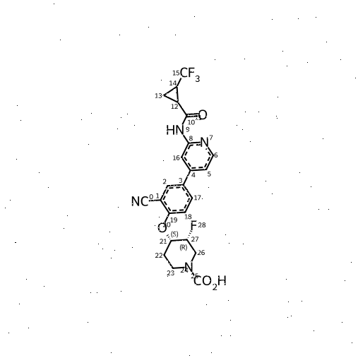 N#Cc1cc(-c2ccnc(NC(=O)C3CC3C(F)(F)F)c2)ccc1O[C@H]1CCN(C(=O)O)C[C@H]1F